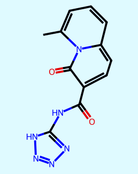 Cc1cccc2ccc(C(=O)Nc3nnn[nH]3)c(=O)n12